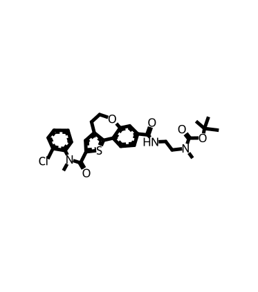 CN(CCNC(=O)c1ccc2c(c1)OCCc1cc(C(=O)N(C)c3ccccc3Cl)sc1-2)C(=O)OC(C)(C)C